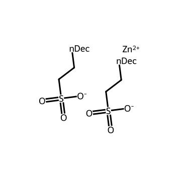 CCCCCCCCCCCCS(=O)(=O)[O-].CCCCCCCCCCCCS(=O)(=O)[O-].[Zn+2]